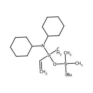 C=C[Si](C)(O[Si](C)(C)C(C)(C)C)N(C1CCCCC1)C1CCCCC1